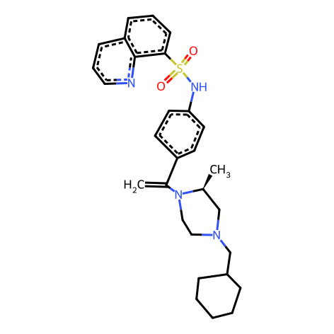 C=C(c1ccc(NS(=O)(=O)c2cccc3cccnc23)cc1)N1CCN(CC2CCCCC2)C[C@@H]1C